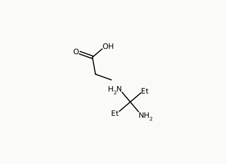 CCC(=O)O.CCC(N)(N)CC